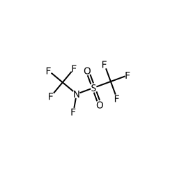 O=S(=O)(N(F)C(F)(F)F)C(F)(F)F